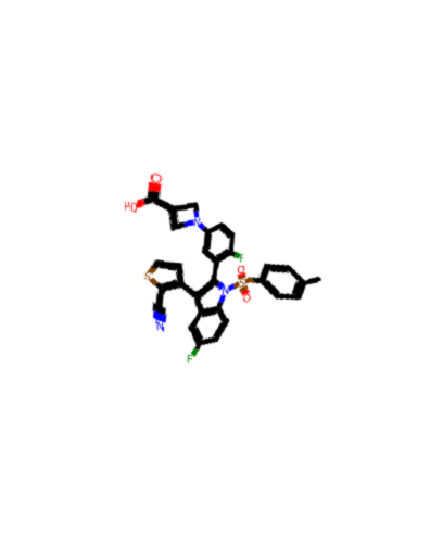 Cc1ccc(S(=O)(=O)n2c(-c3cc(N4CC(C(=O)O)C4)ccc3F)c(-c3ccsc3C#N)c3cc(F)ccc32)cc1